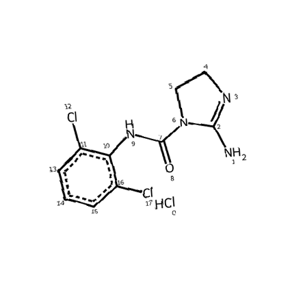 Cl.NC1=NCCN1C(=O)Nc1c(Cl)cccc1Cl